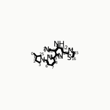 CC1CCN(c2cccc(-c3nc(-c4nccs4)cc(N)c3C#N)n2)C1